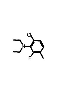 CCN(CC)c1c(Cl)ccc(C)c1F